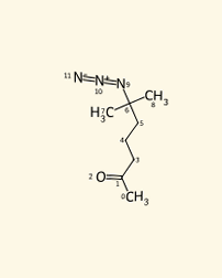 CC(=O)CCCC(C)(C)N=[N+]=[N-]